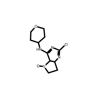 [O-][S+]1CCC2N=C(Cl)N=C(NC3CCOCC3)C21